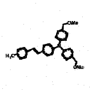 COCc1ccc(N(c2ccc(C=Cc3ccc(C)cc3)cc2)c2ccc(COC)cc2)cc1